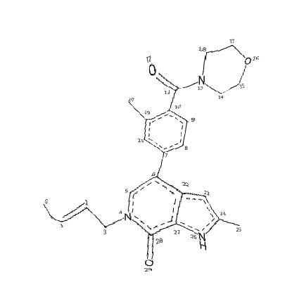 C/C=C/Cn1cc(-c2ccc(C(=O)N3CCOCC3)c(C)c2)c2cc(C)[nH]c2c1=O